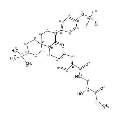 COC(=O)[C@H](O)CNC(=O)c1ccc(CN2C(=O)N(c3ccc(OC(F)(F)F)cc3)CCC23CCC(C(C)(C)C)CC3)cc1